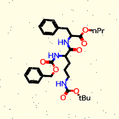 CCCOC(=O)C(Cc1ccccc1)NC(=O)C(CCCNC(=O)OC(C)(C)C)NC(=O)OCc1ccccc1